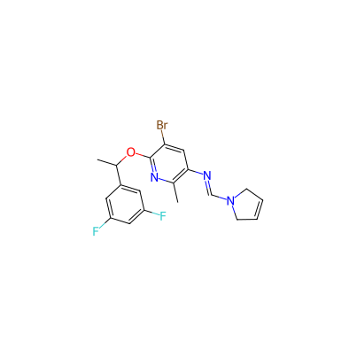 Cc1nc(OC(C)c2cc(F)cc(F)c2)c(Br)cc1/N=C/N1CC=CC1